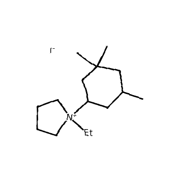 CC[N+]1(C2CC(C)CC(C)(C)C2)CCCC1.[I-]